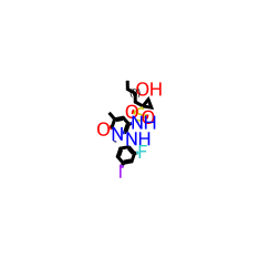 CC[C@@H](O)CC1(S(=O)(=O)Nc2cc(C)c(=O)n(C)c2Nc2ccc(I)cc2F)CC1